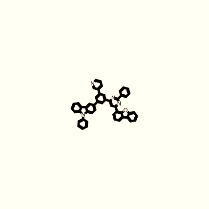 c1ccc(-c2nc(-c3cc(-c4cccnc4)cc(-c4ccc5c(c4)c4ccccc4n5-c4ccccc4)c3)cc(-c3cccc4c3oc3ccccc34)n2)cc1